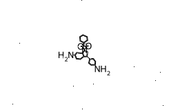 Nc1ccc(-c2cn(S(=O)(=O)c3ccccc3)c3cc(N)ccc23)cc1